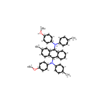 CCCCOc1ccc(N(c2ccc(C)cc2)c2c3ccccc3c(N(c3ccc(C)cc3)c3ccc(OCCCC)cc3)c3cc(C(C)(C)C)ccc23)cc1